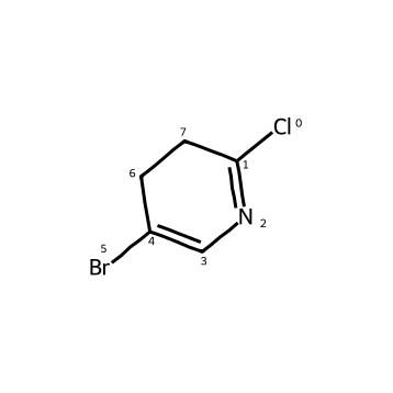 ClC1=NC=C(Br)CC1